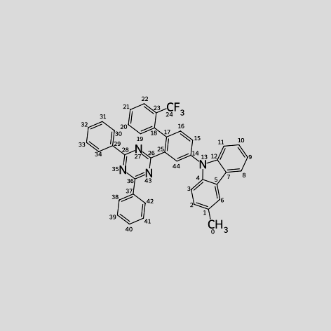 Cc1ccc2c(c1)c1ccccc1n2-c1ccc(-c2ccccc2C(F)(F)F)c(-c2nc(-c3ccccc3)nc(-c3ccccc3)n2)c1